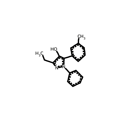 CCc1nn(-c2ccccc2)c(-c2cccc(C)c2)c1O